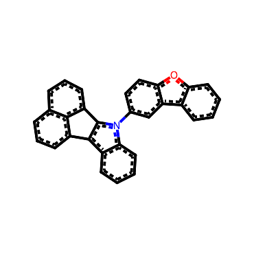 c1cc2c3c(cccc3c1)-c1c-2c2ccccc2n1-c1ccc2oc3ccccc3c2c1